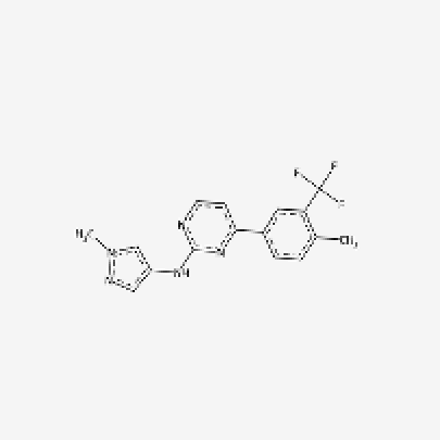 Cc1ccc(-c2ccnc(Nc3cnn(C)c3)n2)cc1C(F)(F)F